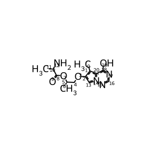 Cc1c(OC[C@@H](C)OC(=O)[C@@H](C)N)cn2ncnc(O)c12